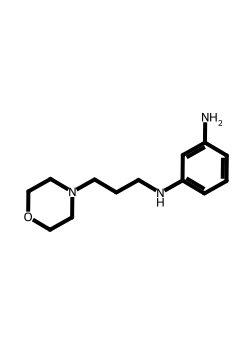 Nc1cccc(NCCCN2CCOCC2)c1